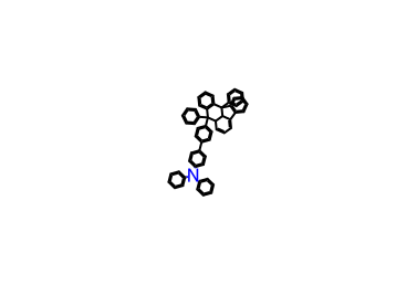 C1=CC2C3C(=C1)c1ccccc1C3(c1ccccc1)c1ccccc1C2(c1ccccc1)c1ccc(-c2ccc(N(c3ccccc3)c3ccccc3)cc2)cc1